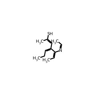 C\C=N/C(=C/C)C(=C\CC)/C=C(\C)S